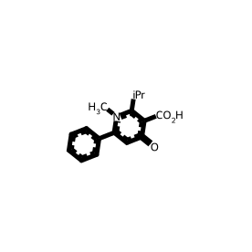 CC(C)c1c(C(=O)O)c(=O)cc(-c2ccccc2)n1C